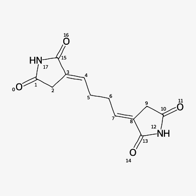 O=C1CC(=CCCC=C2CC(=O)NC2=O)C(=O)N1